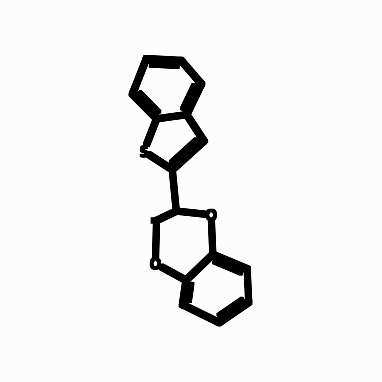 [C]1Oc2ccccc2OC1c1cc2ccccc2s1